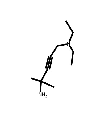 CCN(CC)CC#CC(C)(C)N